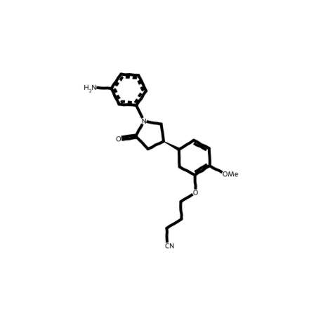 COC1=C(OCCCC#N)CC([C@H]2CC(=O)N(c3cccc(N)c3)C2)C=C1